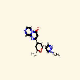 C[C@H]1C[C@@H](c2cc(=O)n3ccncc3n2)C[C@H](c2cnn(C)c2)O1